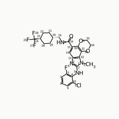 Cn1c(Nc2c(F)cccc2Cl)nc2cc(C(=O)NC[C@H]3CC[C@H](C(F)(F)F)CC3)c3c(c21)OCCO3